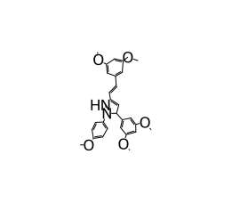 COc1ccc(N2NC(C=Cc3cc(OC)cc(OC)c3)=CC2c2cc(OC)cc(OC)c2)cc1